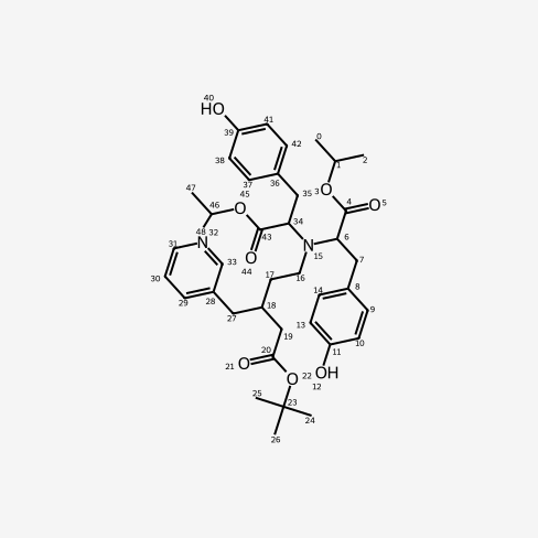 CC(C)OC(=O)C(Cc1ccc(O)cc1)N(CCC(CC(=O)OC(C)(C)C)Cc1cccnc1)C(Cc1ccc(O)cc1)C(=O)OC(C)C